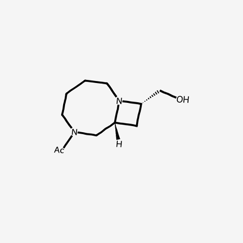 CC(=O)N1CCCCN2[C@H](CO)C[C@@H]2C1